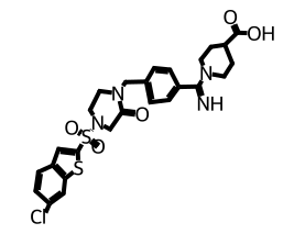 N=C(c1ccc(CN2CCN(S(=O)(=O)c3cc4ccc(Cl)cc4s3)CC2=O)cc1)N1CCC(C(=O)O)CC1